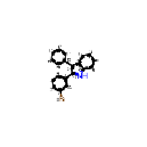 Brc1cccc(-c2[nH]c3ccccc3c2-c2ccccc2)c1